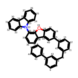 c1ccc(-c2cccc(Cc3cccc(-c4ccc5oc6c(-n7c8ccccc8c8ccccc87)cccc6c5c4)c3)c2)cc1